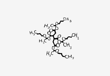 CCCCOC(C)OC(=O)CC(C(=O)OC(C)OCCCC)C(CC(=O)OC(C)OCCCC)C(=O)OC(C)OCCCC